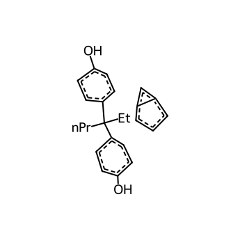 CCCC(CC)(c1ccc(O)cc1)c1ccc(O)cc1.c1cc2cc-2c1